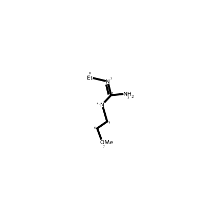 CCN=C(N)[N]CCOC